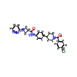 O=C(Nc1ccc(C2CCN(C(=O)c3ccc(Cl)cc3)CC2)cc1)C1CN(c2cccnn2)C1